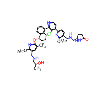 COc1nc(-c2ccnc(-c3cccc4c3CCC[C@@H]4Oc3nc(OC)c(CNCC(C)O)cc3C(F)(F)F)c2Cl)ccc1CNC[C@H]1CCC(=O)N1